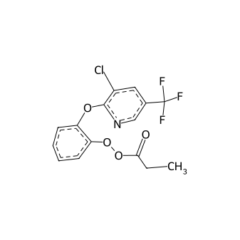 CCC(=O)OOc1ccccc1Oc1ncc(C(F)(F)F)cc1Cl